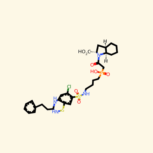 O=C(O)[C@@H]1C[C@H]2CCCC[C@H]2N1C(=O)CP(=O)(O)CCCCNS(=O)(=O)c1cc2c(cc1Cl)NC(CCc1ccccc1)NS2